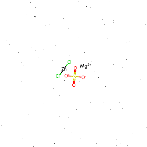 O=S(=O)([O-])[O-].[Cl][Zn][Cl].[Mg+2]